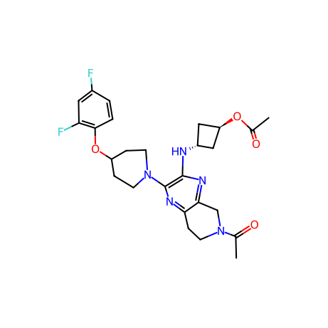 CC(=O)O[C@H]1C[C@H](Nc2nc3c(nc2N2CCC(Oc4ccc(F)cc4F)CC2)CCN(C(C)=O)C3)C1